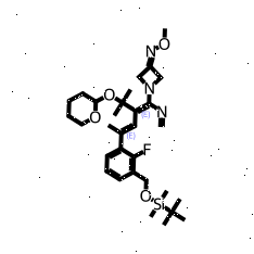 C=N/C(=C(\C=C(/C)c1cccc(CO[Si](C)(C)C(C)(C)C)c1F)C(C)(C)OC1CCCCO1)N1CC(=NOC)C1